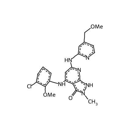 COCc1ccnc(Nc2cc(Nc3cccc(Cl)c3OC)c3c(=O)n(C)[nH]c3n2)c1